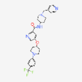 O=C(NC1CCN(Cc2ccncc2)CC1)c1cncc(OC2CCN(c3ccc(C(F)(F)F)cc3)CC2)c1